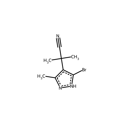 Cc1n[nH]c(Br)c1C(C)(C)C#N